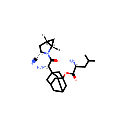 CC(C)C[C@H](N)C(=O)OC12CC3CC(C1)CC([C@H](N)C(=O)N1[C@H](C#N)C[C@@H]4C[C@@H]41)(C3)C2